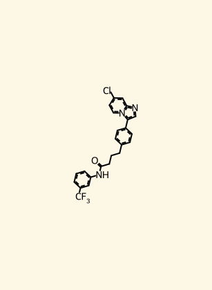 O=C(CCCc1ccc(-c2cnc3cc(Cl)ccn23)cc1)Nc1cccc(C(F)(F)F)c1